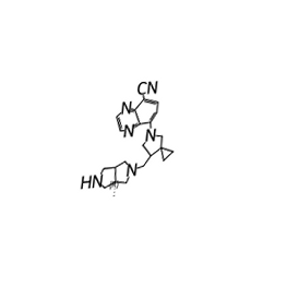 C[C@]12CNCC1CN(CC1CN(c3ccc(C#N)c4nccnc34)CC13CC3)C2